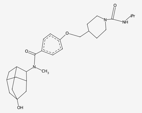 CC(C)NC(=O)N1CCC(COc2ccc(C(=O)N(C)C3C4CC5CC3CC(O)(C5)C4)cc2)CC1